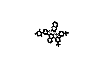 Cc1cc(C)c(-c2ccc3c(c2)c2c4ccccc4c4c5c2n3-c2nc3ccccc3cc2B5n2c3ccc(C(C)(C)C)cc3c3cc(C(C)(C)C)cc-4c32)c(C)c1